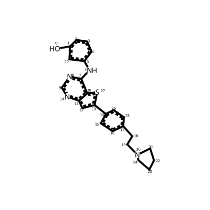 Oc1cccc(Nc2ncnc3cc(-c4ccc(CCN5CCCC5)cc4)sc23)c1